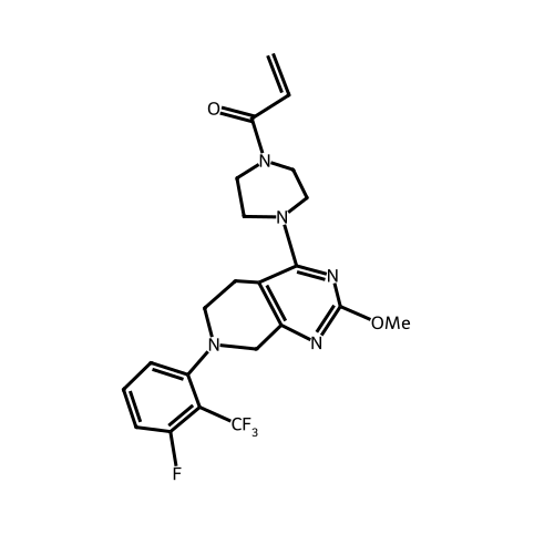 C=CC(=O)N1CCN(c2nc(OC)nc3c2CCN(c2cccc(F)c2C(F)(F)F)C3)CC1